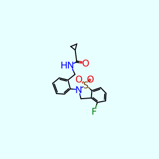 O=C(NCc1ccccc1N1Cc2c(F)cccc2S1(=O)=O)C1CC1